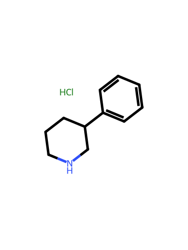 Cl.c1ccc(C2CCCNC2)cc1